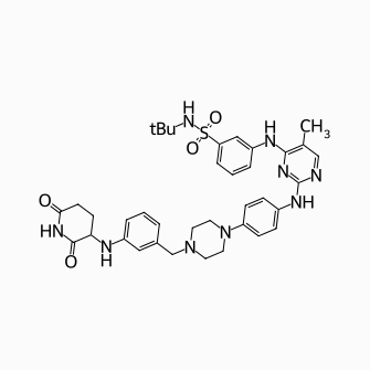 Cc1cnc(Nc2ccc(N3CCN(Cc4cccc(NC5CCC(=O)NC5=O)c4)CC3)cc2)nc1Nc1cccc(S(=O)(=O)NC(C)(C)C)c1